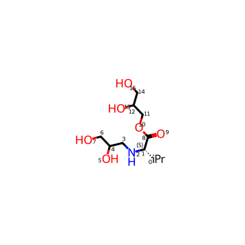 CC(C)[C@H](NCC(O)CO)C(=O)OCC(O)CO